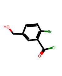 O=C(Cl)c1cc(CO)ccc1Br